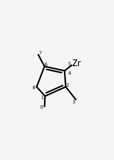 CC1=C(C)[C]([Zr])=C(C)C1